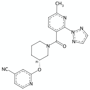 Cc1ccc(C(=O)N2CCC[C@@H](Oc3cc(C#N)ccn3)C2)c(-n2nccn2)n1